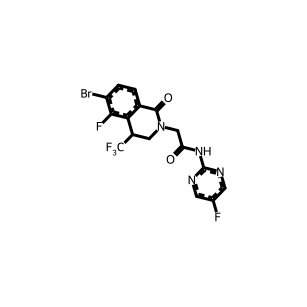 O=C(CN1CC(C(F)(F)F)c2c(ccc(Br)c2F)C1=O)Nc1ncc(F)cn1